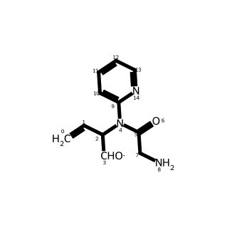 C=CC([C]=O)N(C(=O)CN)c1ccccn1